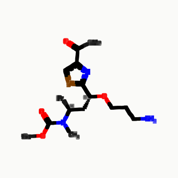 COC(=O)c1csc([C@@H](C[C@H](C(C)C)N(C)C(=O)OC(C)(C)C)OCCCN)n1